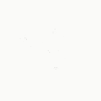 COC1=CC=C([N+](=O)[O-])CN1c1ccccc1O